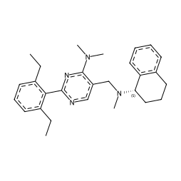 CCc1cccc(CC)c1-c1ncc(CN(C)[C@H]2CCCc3ccccc32)c(N(C)C)n1